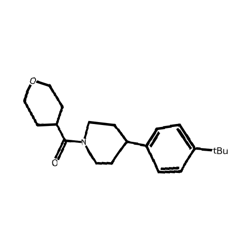 CC(C)(C)c1ccc(C2CCN(C(=O)C3CCOCC3)CC2)cc1